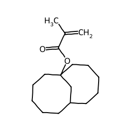 C=C(C)C(=O)OC12CCCCCC(CCCCC1)C2